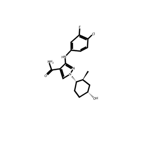 C[C@H]1C[C@H](O)CC[C@@H]1n1cc(C(N)=O)c(Nc2ccc(Cl)c(F)c2)n1